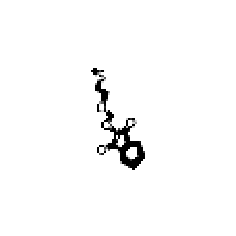 CSCCOCON1C(=O)c2ccccc2C1=O